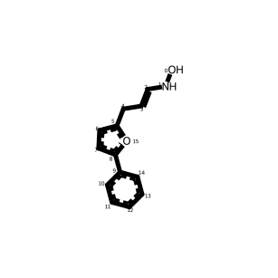 ONC=CCc1ccc(-c2ccccc2)o1